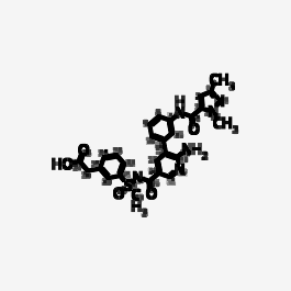 Cc1cc(C(=O)Nc2cccc(-c3cc(C(=O)N=S(C)(=O)c4cccc(CC(=O)O)c4)cnc3N)c2)n(C)n1